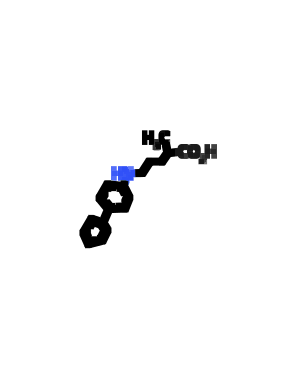 CC(CCCNc1ccc(-c2ccccc2)cc1)C(=O)O